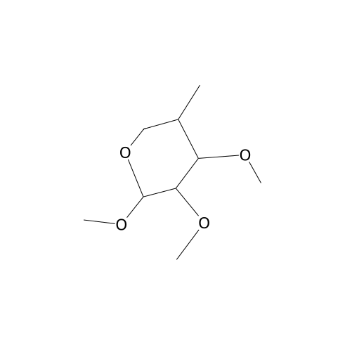 COC1OCC(C)C(OC)C1OC